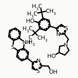 CC(C)(C)c1cc(-c2csc(CN3CCC(O)C3)n2)cc(C(C)(C)C)c1O.OCc1nc(-c2ccc3c(c2)Nc2ccccc2S3)cs1